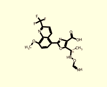 COc1ccc(-c2nc(C(=O)O)c([C@H](C)BOC=N)o2)c2ccc(C(F)(F)F)nc12